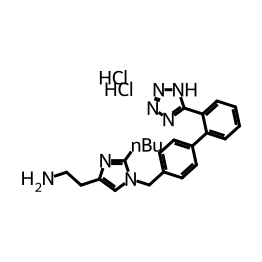 CCCCc1nc(CCN)cn1Cc1ccc(-c2ccccc2-c2nnn[nH]2)cc1.Cl.Cl